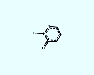 CC(C)n1n[c]ccc1=O